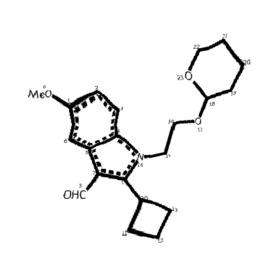 COc1ccc2c(c1)c(C=O)c(C1CCC1)n2CCOC1CCCCO1